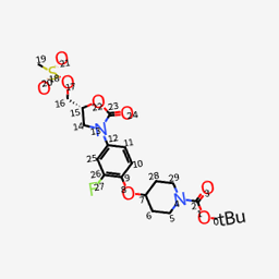 CC(C)(C)OC(=O)N1CCC(Oc2ccc(N3C[C@H](COS(C)(=O)=O)OC3=O)cc2F)CC1